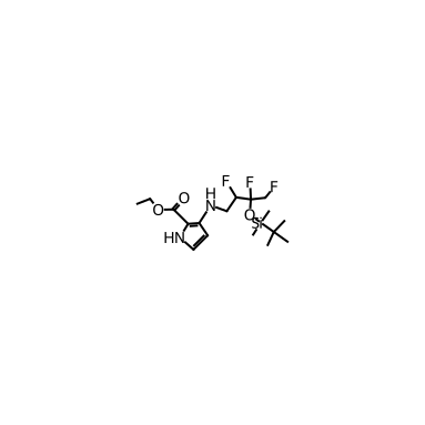 CCOC(=O)c1[nH]ccc1NCC(F)C(F)(CF)O[Si](C)(C)C(C)(C)C